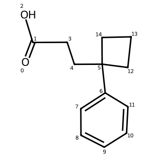 O=C(O)CCC1(c2ccccc2)CCC1